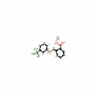 O=C(OP)c1ccccc1CSc1cccc(C(F)(F)F)c1